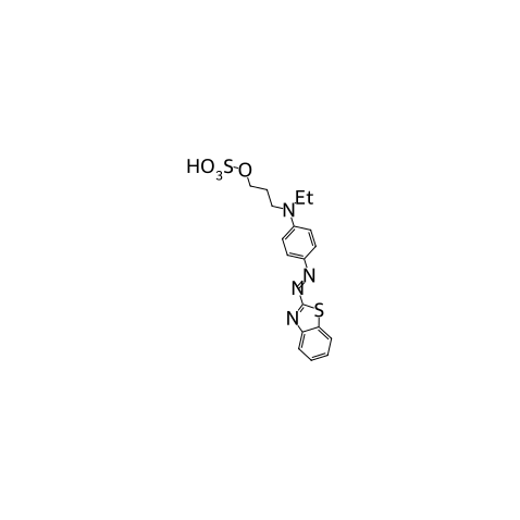 CCN(CCCOS(=O)(=O)O)c1ccc(N=Nc2nc3ccccc3s2)cc1